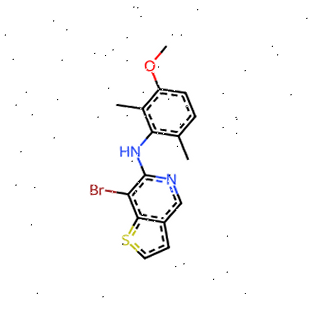 COc1ccc(C)c(Nc2ncc3ccsc3c2Br)c1C